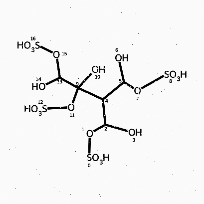 O=S(=O)(O)OC(O)C(C(O)OS(=O)(=O)O)C(O)(OS(=O)(=O)O)C(O)OS(=O)(=O)O